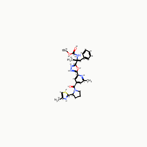 Cc1cc(C(=O)N2CCCC2c2nc(C)cs2)cc(-c2nnc(C(C)(Cc3ccccc3)NC(=O)OC(C)(C)C)o2)n1